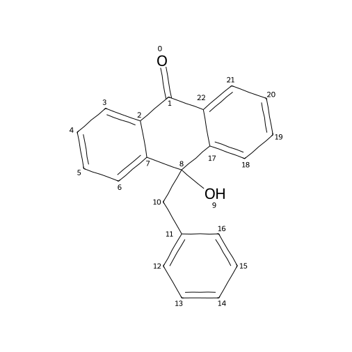 O=C1c2ccccc2C(O)(Cc2ccccc2)c2ccccc21